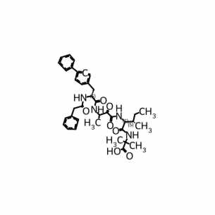 CC[C@H](C)[C@H](NC(=O)C(=O)C(C)NC(=O)[C@H](Cc1ccc(-c2ccccc2)cc1)NC(=O)Cc1ccccc1)C(=O)NC(C)(C)C(=O)O